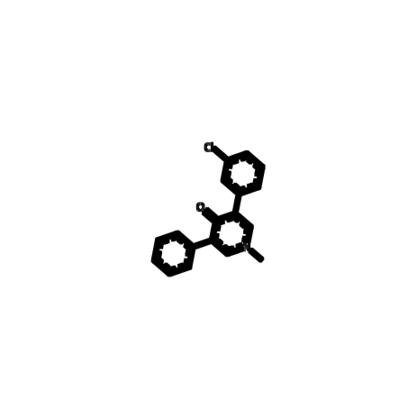 Cn1cc(-c2ccccc2)c(=O)c(-c2cccc(Cl)c2)c1